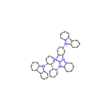 c1ccc(-n2c3ccccc3c3ccccc32)c(-c2ccccc2-n2c3ccccc3n3c4cc(-n5c6ccccc6c6ccccc65)ccc4nc23)c1